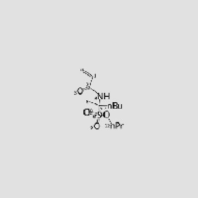 C=CC(=O)NC(C)(CCCC)S(=O)(=O)OCCC